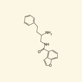 NC(CCc1ccccc1)CNC(=O)c1cccc2occc12